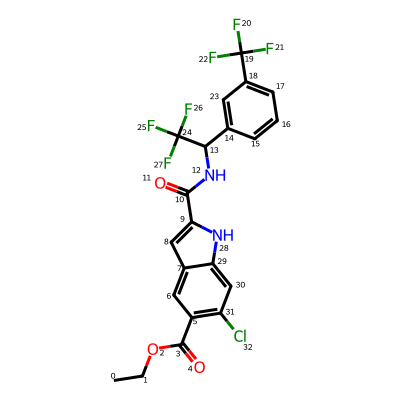 CCOC(=O)c1cc2cc(C(=O)NC(c3cccc(C(F)(F)F)c3)C(F)(F)F)[nH]c2cc1Cl